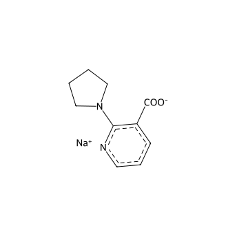 O=C([O-])c1cccnc1N1CCCC1.[Na+]